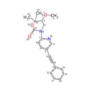 COC1CN(c2ccc(C#Cc3ccccc3)cn2)C(=O)OC1(C)C